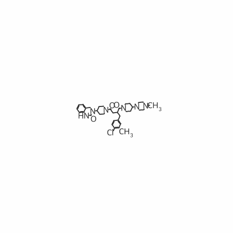 Cc1cc(CC(CC(=O)N2CCC(N3Cc4ccccc4NC3=O)CC2)C(=O)N2CCC(N3CCN(C)CC3)CC2)ccc1Cl